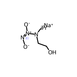 CC(C)N(CCO)/[N+]([O-])=N\[O-].[Na+]